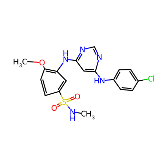 CNS(=O)(=O)c1ccc(OC)c(Nc2cc(Nc3ccc(Cl)cc3)ncn2)c1